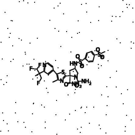 Cc1nc(C2(C(N)=O)CC(NS(=O)(=O)c3ccc(S(C)(=O)=O)cc3)CN2C(N)=O)sc1-c1ccnc(C(C)(CF)C(F)F)c1